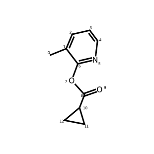 Cc1cccnc1OC(=O)C1CC1